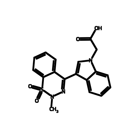 CN1N=C(c2cn(CC(=O)O)c3ccccc23)c2ccccc2S1(=O)=O